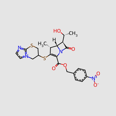 C[C@@H](O)[C@H]1C(=O)N2C(C(=O)OCc3ccc([N+](=O)[O-])cc3)=C(SC3CSc4nccn4C3)[C@H](C)[C@H]12